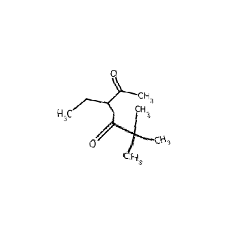 CCC(C(C)=O)C(=O)C(C)(C)C